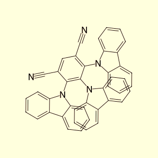 N#Cc1cc(C#N)c(-n2c3ccccc3c3ccccc32)c(-n2c3ccccc3c3ccccc32)c1-n1c2ccccc2c2ccccc21